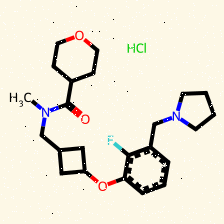 CN(CC1CC(Oc2cccc(CN3CCCC3)c2F)C1)C(=O)C1CCOCC1.Cl